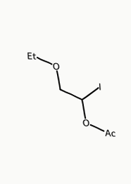 CCOCC(I)OC(C)=O